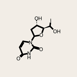 O=c1ccn(C2C[C@H](O)[C@@H](C(O)I)O2)c(=O)[nH]1